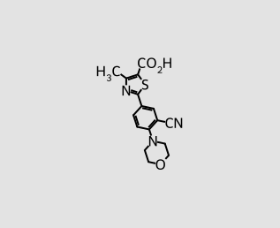 Cc1nc(-c2ccc(N3CCOCC3)c(C#N)c2)sc1C(=O)O